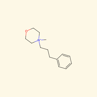 C[N+]1(CCCc2ccccc2)CCOCC1